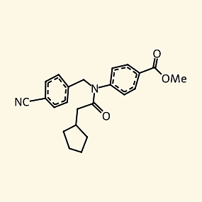 COC(=O)c1ccc(N(Cc2ccc(C#N)cc2)C(=O)CC2CCCC2)cc1